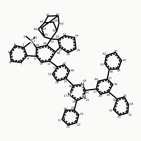 CS1(C)c2ccccc2-c2cc(-c3ccc(-c4nc(-c5ccccc5)nc(-c5cc(-c6ccccc6)cc(-c6ccccc6)c5)n4)cc3)c3c(c21)C1(c2ccccc2-3)C2CC3CC(C2)CC1C3